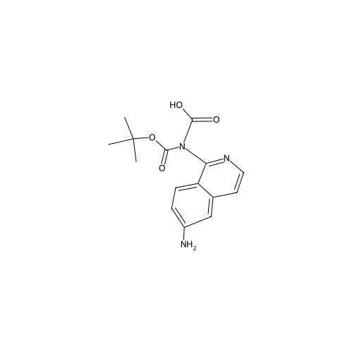 CC(C)(C)OC(=O)N(C(=O)O)c1nccc2cc(N)ccc12